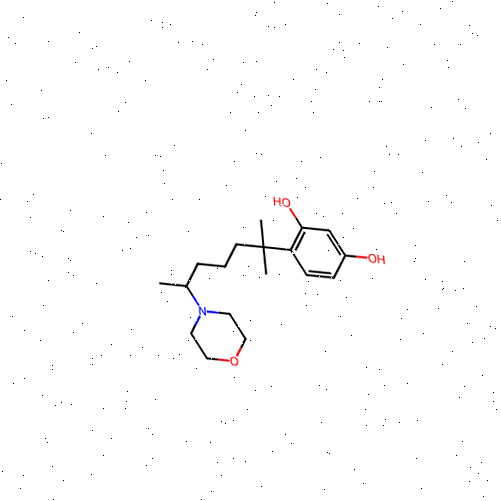 CC(CCCC(C)(C)c1ccc(O)cc1O)N1CCOCC1